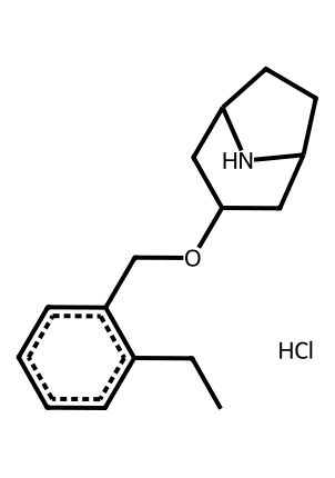 CCc1ccccc1COC1CC2CCC(C1)N2.Cl